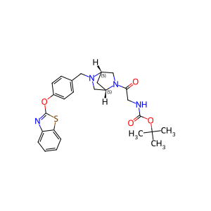 CC(C)(C)OC(=O)NCC(=O)N1C[C@@H]2C[C@H]1CN2Cc1ccc(Oc2nc3ccccc3s2)cc1